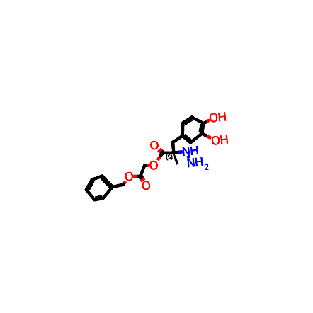 C[C@@](Cc1ccc(O)c(O)c1)(NN)C(=O)OCC(=O)OCc1ccccc1